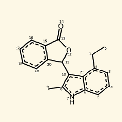 CCc1cccc2[nH]c(C)c(C3OC(=O)c4ccccc43)c12